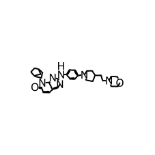 O=c1ccc2cnc(Nc3ccc(N4CCC(CCN5CCOCC5)CC4)cc3)nc2n1C1CC2CCC1C2